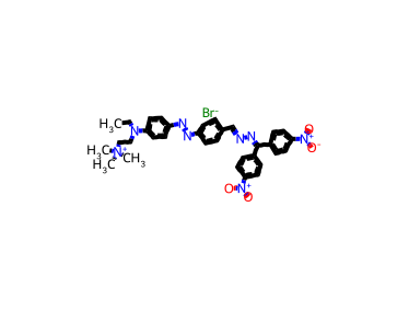 CCN(CC[N+](C)(C)C)c1ccc(N=Nc2ccc(C=NN=C(c3ccc([N+](=O)[O-])cc3)c3ccc([N+](=O)[O-])cc3)cc2)cc1.[Br-]